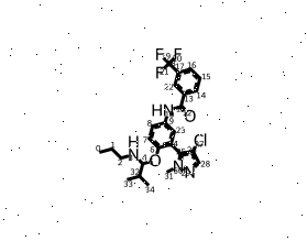 CCCNC(Oc1ccc(NC(=O)c2cccc(C(F)(F)F)c2)cc1-c1c(Cl)cnn1C)C(C)C